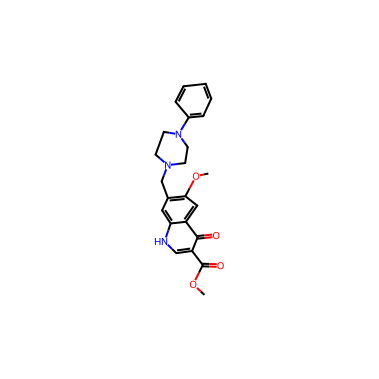 COC(=O)c1c[nH]c2cc(CN3CCN(c4ccccc4)CC3)c(OC)cc2c1=O